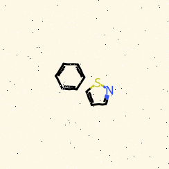 c1ccccc1.c1cnsc1